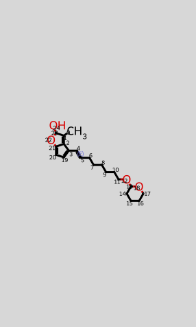 CC1=C2C(/C=C/CCCCCCOC3CCCCO3)=CC=C2OC1O